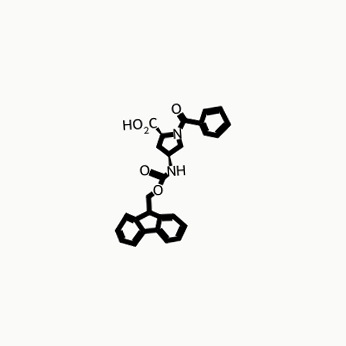 O=C(N[C@H]1C[C@@H](C(=O)O)N(C(=O)c2ccccc2)C1)OCC1c2ccccc2-c2ccccc21